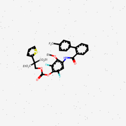 CCOC(=O)C(COC(=O)Oc1c(F)cc(NC(=O)c2ccccc2-c2ccc(C(F)(F)F)cc2)c(OCC)c1F)(C(=O)OCC)c1cccs1